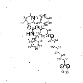 CC1CCN(C)C[C@@H]1OC(=O)NC(c1ccccc1)c1cc(OCCCCCCCCC2OCCO2)cc(-c2ccccc2)c1